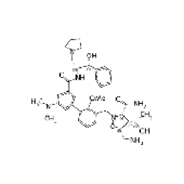 COc1c(CN2O[C@@H](CN)[C@@H]([C@H](C)O)[C@H]2C(N)=O)cccc1-c1cc(C(=O)N[C@H](CN2CCCC2)[C@H](O)c2ccccc2)cc(N(C)C)c1